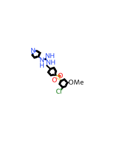 COc1cc(Cl)cc(S(=O)(=O)c2ccc(CNC(=N)Nc3ccncc3)cc2)c1